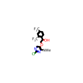 CNc1nc(Cl)ncc1OCC(O)c1ccc(C(F)(F)F)cc1C(F)(F)F